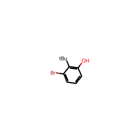 CC(C)(C)c1c(O)cccc1Br